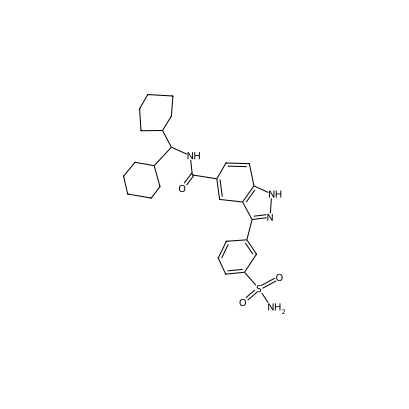 NS(=O)(=O)c1cccc(-c2n[nH]c3ccc(C(=O)NC(C4CCCCC4)C4CCCCC4)cc23)c1